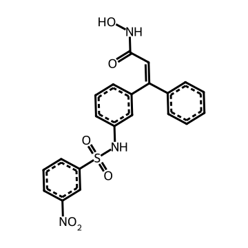 O=C(C=C(c1ccccc1)c1cccc(NS(=O)(=O)c2cccc([N+](=O)[O-])c2)c1)NO